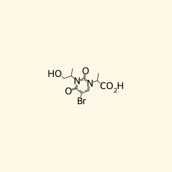 CC(C(=O)O)n1cc(Br)c(=O)n(C(C)CO)c1=O